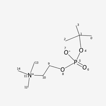 CC(C)(C)OP(=O)([O-])OCC[N+](C)(C)C